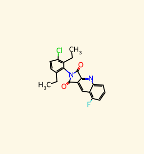 CCc1ccc(Cl)c(CC)c1N1C(=O)c2cc3c(F)cccc3nc2C1=O